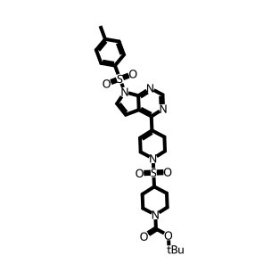 Cc1ccc(S(=O)(=O)n2ccc3c(C4=CCN(S(=O)(=O)C5CCN(C(=O)OC(C)(C)C)CC5)CC4)ncnc32)cc1